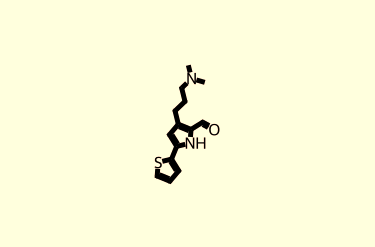 CN(C)CCCc1cc(-c2cccs2)[nH]c1C=O